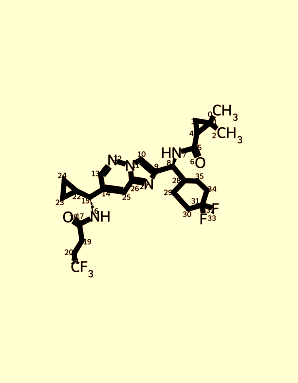 CC1(C)CC1C(=O)N[C@H](c1cn2ncc([C@H](NC(=O)CCC(F)(F)F)C3CC3)cc2n1)C1CCC(F)(F)CC1